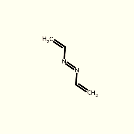 C=CN=NC=C